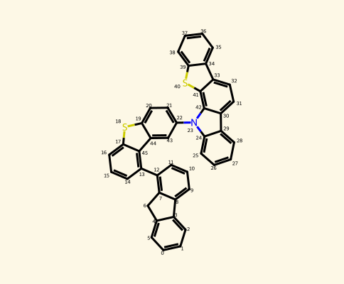 c1ccc2c(c1)Cc1c-2cccc1-c1cccc2sc3ccc(-n4c5ccccc5c5ccc6c7ccccc7sc6c54)cc3c12